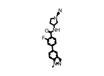 Cn1ncc2cc(-c3ccc(C(=O)NC4CCN(C#N)C4)c(F)c3)ccc21